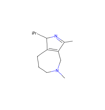 CC1=NC(C(C)C)C2=C1CN(C)CCC2